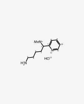 CNC(CCCCN)c1ccccn1.Cl